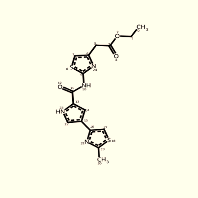 CCOC(=O)Cc1csc(NC(=O)c2cc(-c3csc(C)n3)c[nH]2)n1